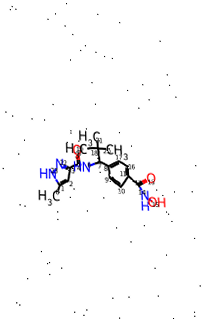 Cc1cc(C(=O)NC(c2ccc(C(=O)NO)cc2)C(C)(C)C)n[nH]1